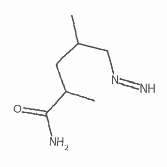 CC(CN=N)CC(C)C(N)=O